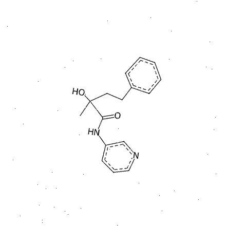 CC(O)(CCc1ccccc1)C(=O)Nc1cccnc1